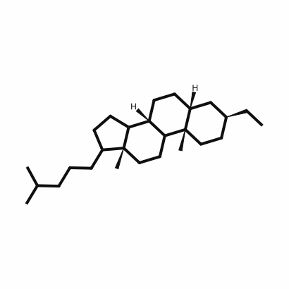 CC[C@H]1CC[C@]2(C)C3CC[C@]4(C)C(CCCC(C)C)CCC4[C@@H]3CC[C@@H]2C1